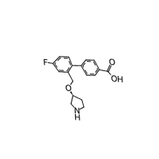 O=C(O)c1ccc(-c2ccc(F)cc2CO[C@H]2CCNC2)cc1